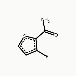 NC(=O)c1sccc1F